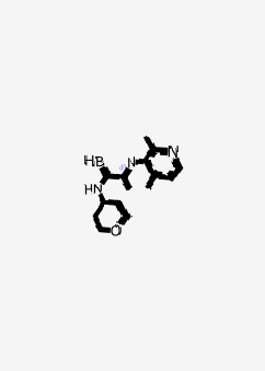 B=C(NC1CCOCC1)/C(C)=N/c1c(C)ccnc1C